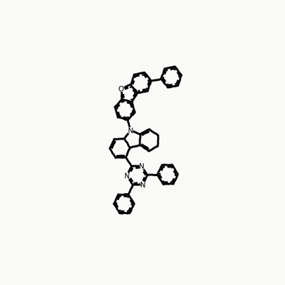 C1=CC2C(C3=CCCC=C3N2c2ccc3oc4ccc(-c5ccccc5)cc4c3c2)C(c2nc(-c3ccccc3)nc(-c3ccccc3)n2)=C1